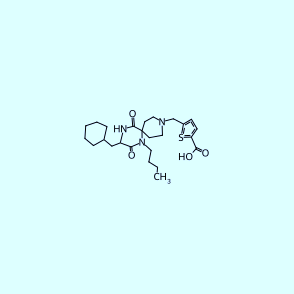 CCCCN1C(=O)C(CC2CCCCC2)NC(=O)C12CCN(Cc1ccc(C(=O)O)s1)CC2